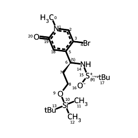 Cn1cc(Br)c([C@H](CCO[Si](C)(C)C(C)(C)C)N[S@@+]([O-])C(C)(C)C)cc1=O